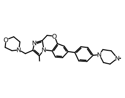 Cc1c(CN2CCOCC2)nc2n1-c1ccc(-c3ccc(N4CCN(C)CC4)cc3)cc1OC2